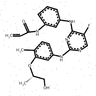 C=CC(=O)Nc1cccc(Nc2nc(Nc3ccc(C)c(O[C@@H](C)CO)c3)ncc2F)c1